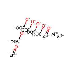 O=C([O-])[O-].O=C([O-])[O-].O=C([O-])[O-].O=C([O-])[O-].O=C([O-])[O-].[Al+3].[Al+3].[O]=[Zr+2].[O]=[Zr+2]